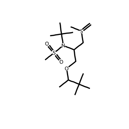 C=S(C)CC(COC(C)C(C)(C)C)N(C(C)(C)C)S(C)(=O)=O